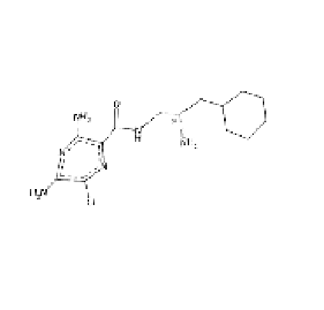 Nc1nc(N)c(C(=O)NC[C@@H](N)CC2CCCCC2)nc1Cl